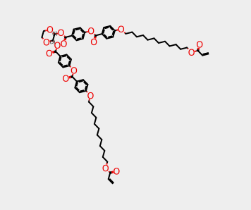 C=CC(=O)OCCCCCCCCCCCCOc1ccc(C(=O)Oc2ccc(C(=O)O[C@@H]3OCCO[C@H]3OC(=O)c3ccc(OC(=O)c4ccc(OCCCCCCCCCCCCOC(=O)C=C)cc4)cc3)cc2)cc1